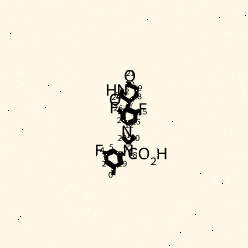 Cc1cc(F)cc(N(C(=O)O)C2CN(c3cc(F)c(C4CCC(=O)NC4=O)c(F)c3)C2)c1